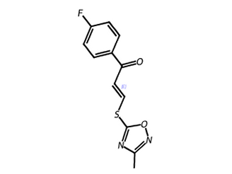 Cc1noc(S/C=C/C(=O)c2ccc(F)cc2)n1